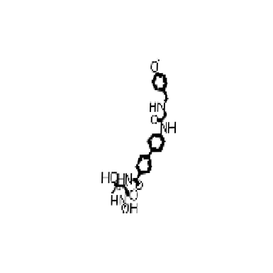 COc1ccc(CNCC(=O)Nc2ccc(-c3ccc(C(=O)N[C@H](C(=O)NO)[C@@H](C)O)cc3)cc2)cc1